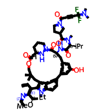 C=C/C(=C(\N=C/C)[C@H](C)OC)c1c2c3cc(ccc3n1CC)-c1cc(O)cc(c1)C[C@H](NC(=O)[C@H](C(C)C)N(C)C(=O)C1CCN(C(=O)C#CC(F)(F)N(C)C)C1)C(=O)N1CCC[C@H](N1)C(=O)OCC(C)(C)C2